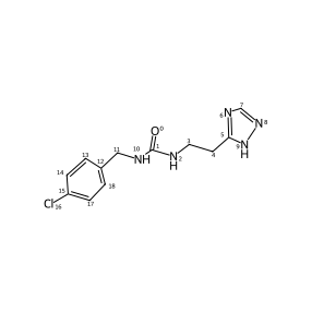 O=C(NCCc1ncn[nH]1)NCc1ccc(Cl)cc1